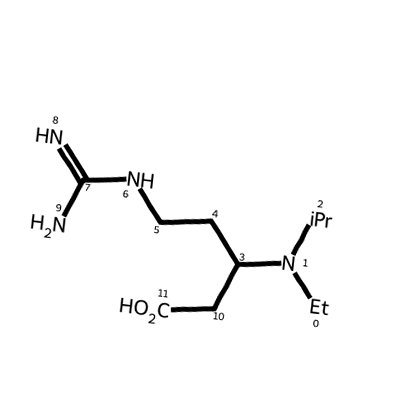 CCN(C(C)C)C(CCNC(=N)N)CC(=O)O